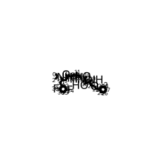 CC(C)NC(CC(=O)NCC(C)(C)CNC(=O)C(O)C(N)COCc1ccccc1)Cc1cc(F)ccc1F